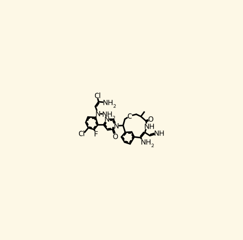 CC1CCCC(n2cnc(-c3c(N(N)/C=C(\N)Cl)ccc(Cl)c3F)cc2=O)c2cccc(c2)/C(N)=C(/C=N)NC1=O